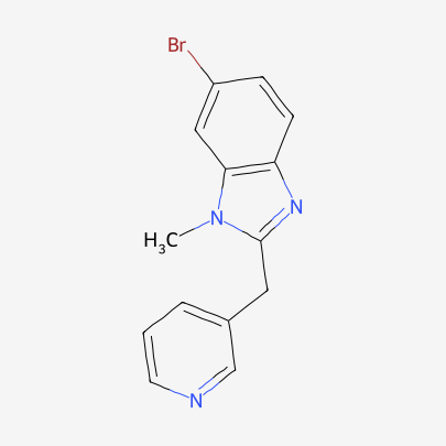 Cn1c(Cc2cccnc2)nc2ccc(Br)cc21